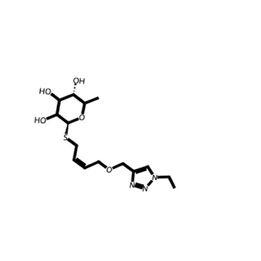 CCn1cc(COC/C=C\CS[C@@H]2OC(C)[C@@H](O)C(O)C2O)nn1